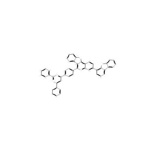 c1ccc(-c2cc(-c3ccc(-c4nc5cc(-c6cccc7c6oc6ccccc67)ccc5c5oc6ccccc6c45)cc3)nc(-c3ccccc3)n2)cc1